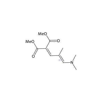 COC(=O)C(=C/C(C)=C/N(C)C)C(=O)OC